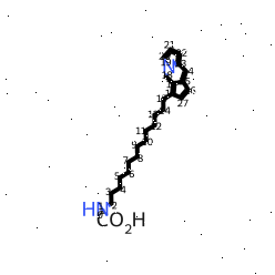 O=C(O)NCCCCCCCCCCCCCCC1=C2Cn3cccc3C=C2C=C1